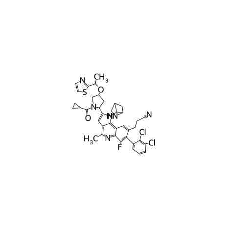 Cc1nc2c(F)c(-c3cccc(Cl)c3Cl)c(CCC#N)cc2c2c1cc(C1CC(OC(C)c3nccs3)CN1C(=O)C1CC1)n2C1C2CNC1C2